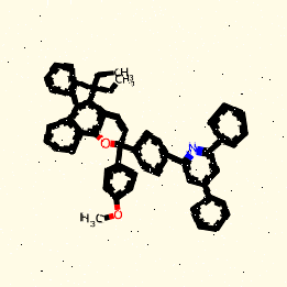 CCC1(CC)c2ccccc2-c2c1c1c(c3ccccc23)OC(c2ccc(OC)cc2)(c2ccc(-c3cc(-c4ccccc4)cc(-c4ccccc4)n3)cc2)C=C1